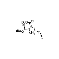 CC(C)COC(=O)[C@H](CCN=C=O)N(C)C(=O)OC(C)(C)C